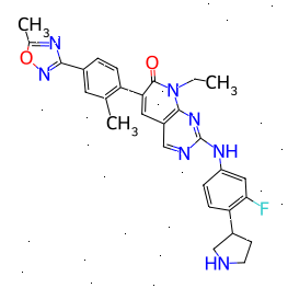 CCn1c(=O)c(-c2ccc(-c3noc(C)n3)cc2C)cc2cnc(Nc3ccc(C4CCNC4)c(F)c3)nc21